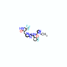 CCn1nccc1C(=O)N[C@H](c1cn2nc(CC3C[C@@H](C(F)(F)F)CNC3=O)ccc2n1)[C@H]1CCCC(F)(F)C1